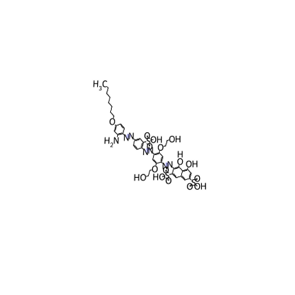 CCCCCCCCOc1ccc(/N=N/c2ccc(/N=N/c3cc(OCCO)c(/N=N/c4c(S(=O)(=O)O)cc5cc(S(=O)(=O)O)cc(O)c5c4O)cc3OCCO)c(S(=O)(=O)O)c2)c(N)c1